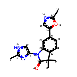 Cc1nc(N2C(=O)C(C)(C)c3ccc(-c4cnc(C)o4)cc32)c[nH]1